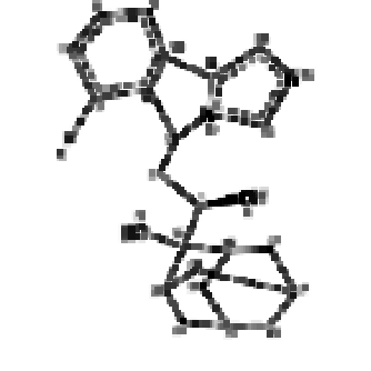 O[C@H](CC1c2c(F)cccc2-c2cncn21)C1(O)C2CC3CC(C2)CC1C3